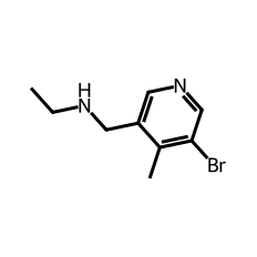 CCNCc1cncc(Br)c1C